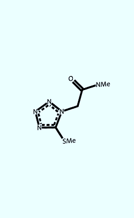 CNC(=O)Cn1nnnc1SC